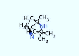 CC#N.C[Si](C)(C)N[Si](C)(C)C